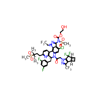 CC(C)(CCc1ccc(-c2ccc(Cl)c3c(N(C(=O)OCCO)S(C)(=O)=O)nn(CC(F)(F)F)c23)c([C@H](Cc2cc(F)cc(F)c2)NC(=O)Cn2nc(C(F)(F)F)c3c2C(F)(F)[C@@H]2CC[C@H]32)n1)S(C)(=O)=O